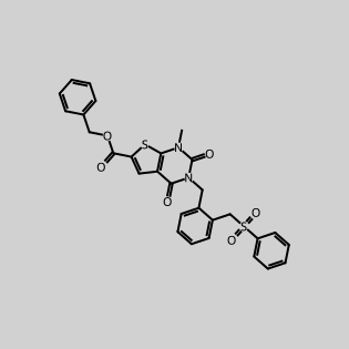 Cn1c(=O)n(Cc2ccccc2CS(=O)(=O)c2ccccc2)c(=O)c2cc(C(=O)OCc3ccccc3)sc21